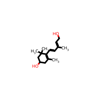 CC(C=CC1=C(C)CC(O)CC1(C)C)=CCO